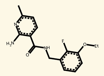 CCOc1cccc(CNC(=O)c2ccc(C)nc2N)c1F